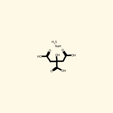 O=C(O)CC(O)(CC(=O)O)C(=O)O.S.[NaH]